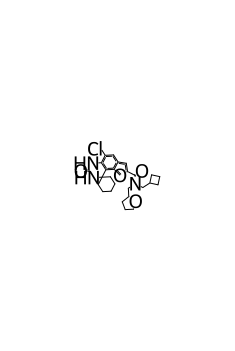 O=C1Nc2c(Cl)cc3cc(C(=O)N(CC4CCC4)CC4CCCO4)oc3c2C2(CCCCC2)N1